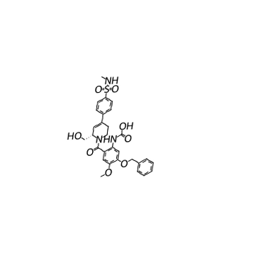 CNS(=O)(=O)c1ccc(C2=C[C@@H](CO)N(C(=O)c3cc(OC)c(OCc4ccccc4)cc3NC(=O)O)CC2)cc1